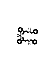 O=C(n1cc(CCNCc2ccccc2)c2ccccc21)n1cc(CCNCc2ccccc2)c2ccccc21